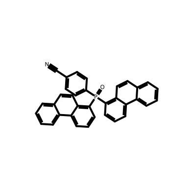 N#Cc1ccc(P(=O)(c2cccc3c2ccc2ccccc23)c2cccc3c2ccc2ccccc23)cc1